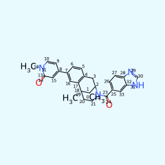 CC1C2Cc3ccc(-c4ccn(C)c(=O)c4)cc3[C@]1(C)CCN2C(=O)c1ccc2nc[nH]c2c1